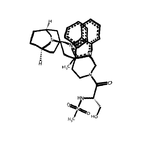 Cc1nc2ccccc2n1[C@H]1C[C@H]2CC[C@@H](C1)N2CCC1(c2ccccc2)CCN(C(=O)[C@H](CO)NS(C)(=O)=O)CC1